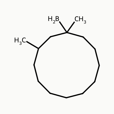 BC1(C)CCCCCCCCCC(C)C1